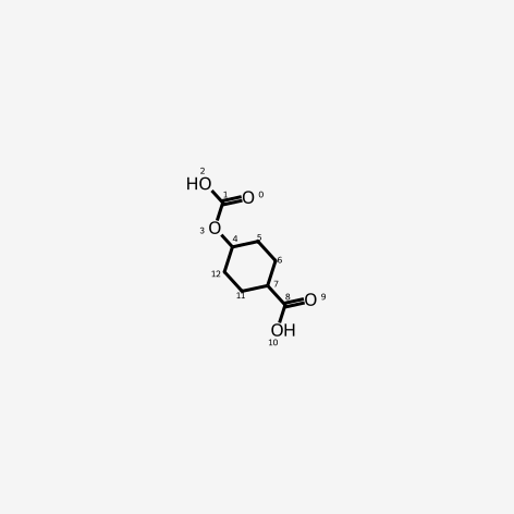 O=C(O)OC1CCC(C(=O)O)CC1